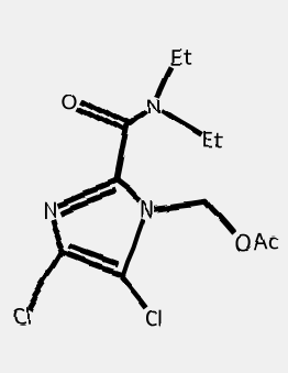 CCN(CC)C(=O)c1nc(Cl)c(Cl)n1COC(C)=O